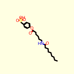 CCCCCCCCC(=O)NCCCCCC(=O)Oc1ccc(CS(=O)(=O)O)cc1